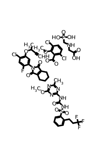 C#CC(C)Oc1cc(N2C(=O)C3=C(CCCC3)C2=O)c(F)cc1Cl.COc1c(Cl)ccc(Cl)c1C(=O)O.COc1nc(C)nc(NC(=O)NS(=O)(=O)c2ccccc2CCC(F)(F)F)n1.O=C(O)CNCP(=O)(O)O